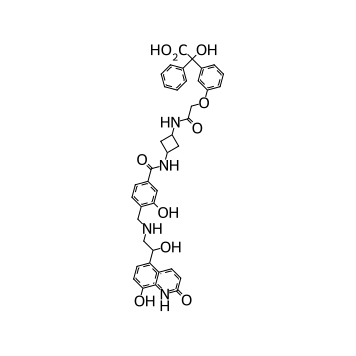 O=C(COc1cccc(C(O)(C(=O)O)c2ccccc2)c1)NC1CC(NC(=O)c2ccc(CNCC(O)c3ccc(O)c4[nH]c(=O)ccc34)c(O)c2)C1